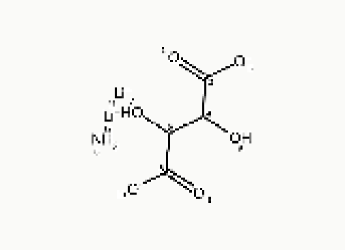 N.O=C([O-])C(O)C(O)C(=O)[O-].[Li+].[Li+]